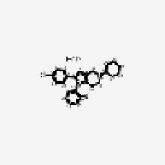 Cl.Clc1ccc(-c2cc3c(n2-c2ccccc2Cl)CCN(C2CCCCC2)C3)cc1